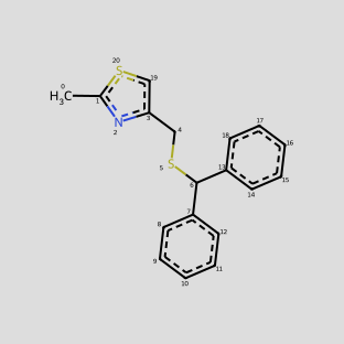 Cc1nc(CSC(c2ccccc2)c2ccccc2)cs1